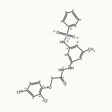 Cc1cc(NNC(=O)COc2ccc(Cl)cc2Cl)nc(NS(=O)(=O)c2ccccc2)n1